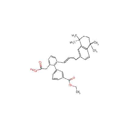 CCOC(=O)c1cccc(-c2c(/C=C/Cc3ccc4c(c3)C(C)(C)CCC4(C)C)cccc2CC(=O)O)c1